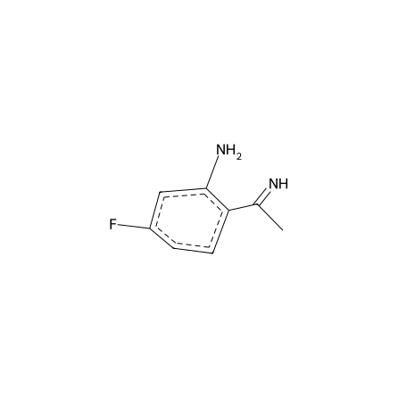 CC(=N)c1ccc(F)cc1N